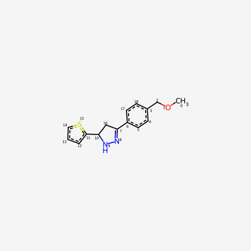 COCc1ccc(C2=NNC(c3cccs3)C2)cc1